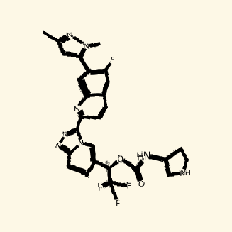 Cc1cc(-c2cc3nc(-c4nnc5ccc([C@@H](OC(=O)NC6CCNC6)C(F)(F)F)cn45)ccc3cc2F)n(C)n1